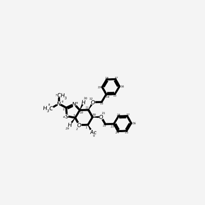 CC(=O)[C@H]1O[C@@H]2SC(N(C)C)=N[C@@H]2[C@@H](OCc2ccccc2)[C@H]1OCc1ccccc1